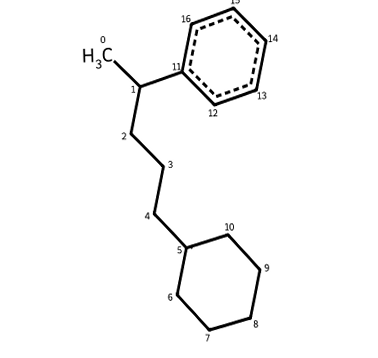 CC(CCC[C]1CCCCC1)c1ccccc1